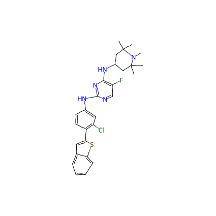 CN1C(C)(C)CC(Nc2nc(Nc3ccc(-c4cc5ccccc5s4)c(Cl)c3)ncc2F)CC1(C)C